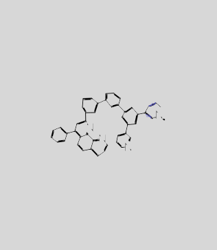 C=N/C=C(\C=C/C)c1cc(-c2cccnc2)cc(-c2cccc(-c3cccc(-c4cc(-c5ccccc5)c5ccc6cccnc6c5n4)c3)c2)c1